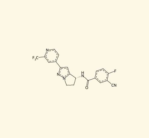 N#Cc1cc(C(=O)N[C@@H]2CCn3nc(-c4ccnc(C(F)(F)F)c4)cc32)ccc1F